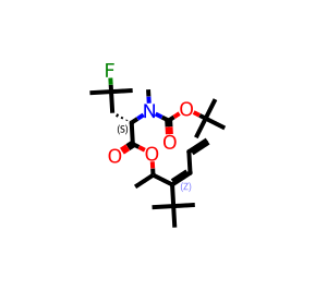 C=C/C=C(\C(C)OC(=O)[C@H](CC(C)(C)F)N(C)C(=O)OC(C)(C)C)C(C)(C)C